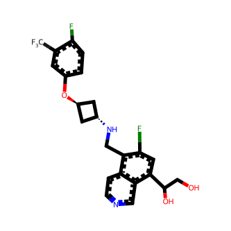 OCC(O)c1cc(F)c(CN[C@H]2C[C@H](Oc3ccc(F)c(C(F)(F)F)c3)C2)c2ccncc12